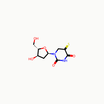 O=C1NC(=O)N([C@H]2C[C@@H](O)[C@H](CO)O2)CC1=S